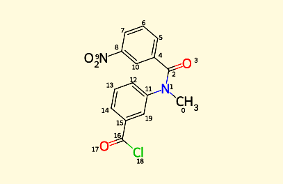 CN(C(=O)c1cccc([N+](=O)[O-])c1)c1cccc(C(=O)Cl)c1